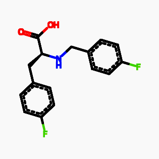 O=C(O)[C@H](Cc1ccc(F)cc1)NCc1ccc(F)cc1